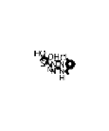 CC(Nc1nccn2c([C@@H]3SC[C@@H](O)[C@H]3O)nnc12)c1cccc(Cl)c1